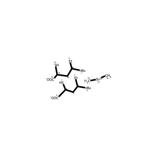 CCCCC(CC)CC(S)C(=O)[O-].CCCCC(CC)CC(S)C(=O)[O-].[CH3][Sn+2][CH3]